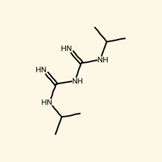 CC(C)NC(=N)NC(=N)NC(C)C